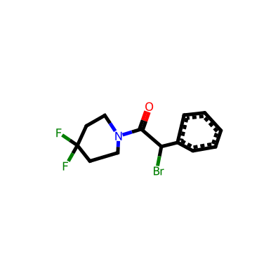 O=C(C(Br)c1ccccc1)N1CCC(F)(F)CC1